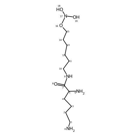 NCCCCC(N)C(=O)NCCCCCCON(O)O